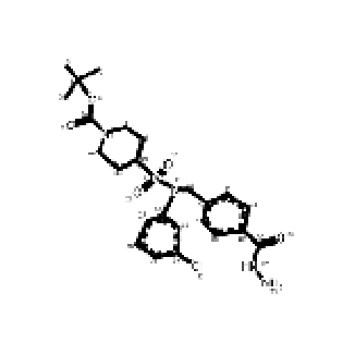 CC(C)(C)OC(=O)N1CCC(S(=O)(=O)N(Cc2ccc(C(=O)NN)cc2)c2cccc(Cl)c2)CC1